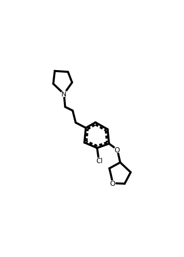 Clc1cc(CCCN2CCCC2)ccc1OC1CCOC1